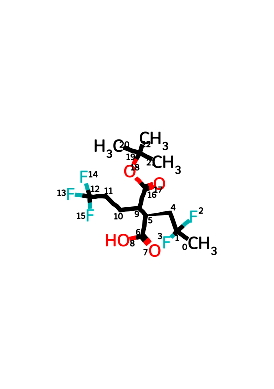 CC(F)(F)C[C@@H](C(=O)O)C(CCC(F)(F)F)C(=O)OC(C)(C)C